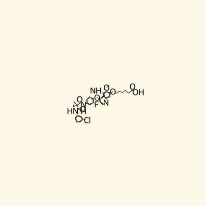 COc1cc2c(Oc3ccc(NC(=O)C4(C(=O)Nc5cccc(Cl)c5)CC4)cc3F)ccnc2cc1OCCCCCC(=O)O.N